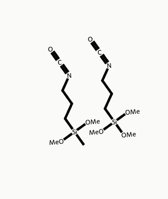 CO[Si](C)(CCCN=C=O)OC.CO[Si](CCCN=C=O)(OC)OC